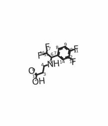 O=C(O)CCNC(c1ccc(F)c(F)c1)C(F)F